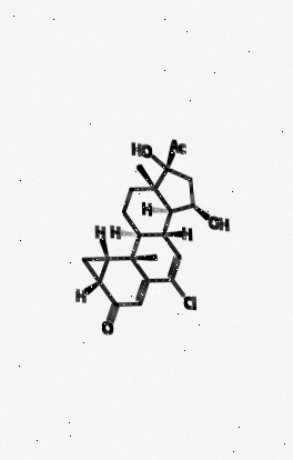 CC(=O)[C@@]1(O)C[C@@H](O)[C@H]2[C@@H]3C=C(Cl)C4=CC(=O)[C@@H]5C[C@@H]5[C@]4(C)[C@H]3CC[C@@]21C